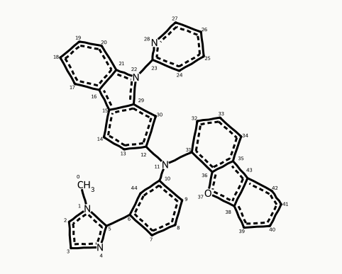 Cn1ccnc1-c1cccc(N(c2ccc3c4ccccc4n(-c4ccccn4)c3c2)c2cccc3c2oc2ccccc23)c1